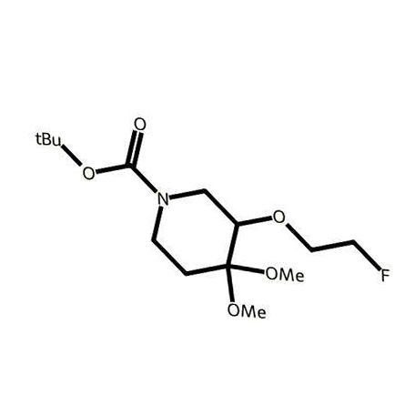 COC1(OC)CCN(C(=O)OC(C)(C)C)CC1OCCF